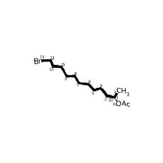 CC(=O)O[C@@H](C)CCCCCCCCCCBr